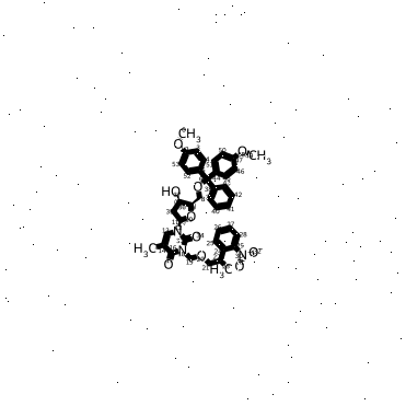 COc1ccc(C(OC[C@H]2O[C@@H](n3cc(C)c(=O)n(COCC(C)c4ccccc4[N+](=O)[O-])c3=O)C[C@@H]2O)(c2ccccc2)c2ccc(OC)cc2)cc1